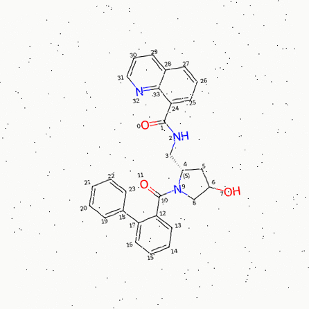 O=C(NC[C@@H]1CC(O)CN1C(=O)c1ccccc1-c1ccccc1)c1cccc2cccnc12